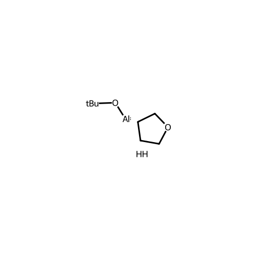 C1CCOC1.CC(C)(C)[O][Al].[HH]